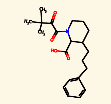 CC(C)(C)C(=O)C(=O)N1CCCC(CCCc2ccccc2)C1C(=O)O